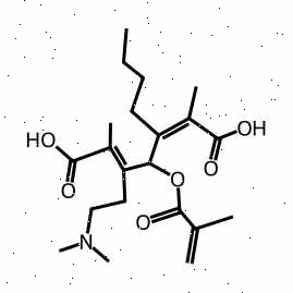 C=C(C)C(=O)OC(C(CCCC)=C(C)C(=O)O)C(CCN(C)C)=C(C)C(=O)O